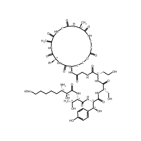 C=C1NC(=O)[C@H](C(C)C)NC(=O)[C@H](NC(=O)CNC(=O)[C@H](CCO)NC(=O)[C@H](CO)NC(=O)[C@@H](NC(=O)[C@@H](NC(=O)[C@@H](O)[C@@H](N)CCCCCCCCCCCCCCC)[C@@H](C)O)[C@@H](O)c2ccc(O)cc2)CCOC(=O)CCNC(=O)[C@H](C)NC(=O)CNC1=O